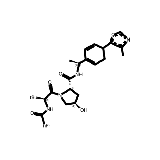 CCCC(=O)N[C@H](C(=O)N1C[C@H](O)C[C@H]1C(=O)N[C@@H](C)C1=CCC(c2scnc2C)C=C1)C(C)(C)C